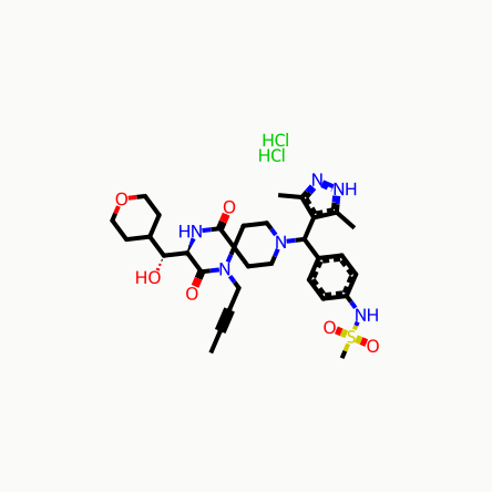 CC#CCN1C(=O)[C@@H]([C@H](O)C2CCOCC2)NC(=O)C12CCN(C(c1ccc(NS(C)(=O)=O)cc1)c1c(C)n[nH]c1C)CC2.Cl.Cl